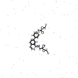 C/C=C\c1ccc(-c2cc[n+](CC(=O)OCC)cc2)cc1/C=N/CC(=O)OCC